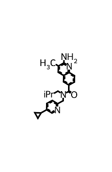 Cc1cc2cc(C(=O)N(Cc3ccc(C4CC4)cn3)CC(C)C)ccc2nc1N